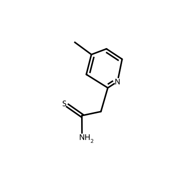 Cc1ccnc(CC(N)=S)c1